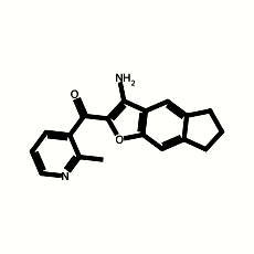 Cc1ncccc1C(=O)c1oc2cc3c(cc2c1N)CCC3